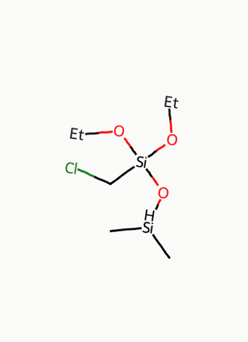 CCO[Si](CCl)(OCC)O[SiH](C)C